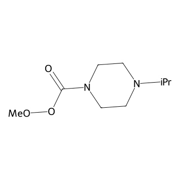 COOC(=O)N1CCN(C(C)C)CC1